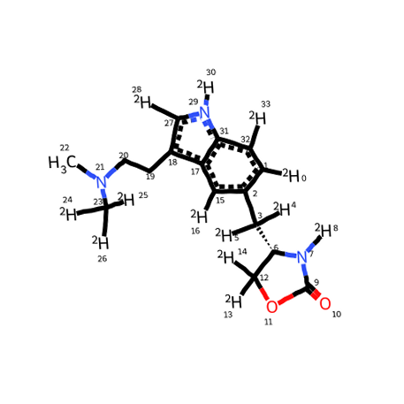 [2H]c1c(C([2H])([2H])[C@@H]2N([2H])C(=O)OC2([2H])[2H])c([2H])c2c(CCN(C)C([2H])([2H])[2H])c([2H])n([2H])c2c1[2H]